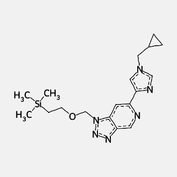 C[Si](C)(C)CCOCn1nnc2cnc(-c3cn(CC4CC4)cn3)cc21